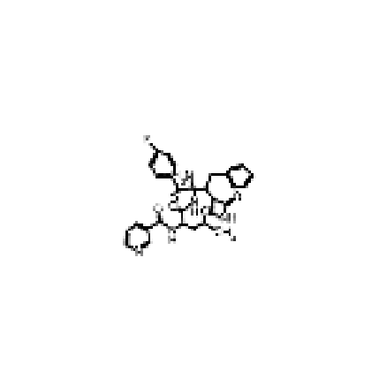 CC(C)CC(NC(=O)c1cccnc1)C(=O)NC(N)(C(=O)c1ccc(F)cc1)C(Cc1ccccc1)C1CNC1=O